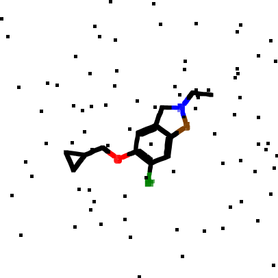 CCN1Cc2cc(OCC3CC3)c(Br)cc2S1